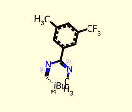 CC[C@@H](C)/C=N\C(=N/C)c1cc(C)cc(C(F)(F)F)c1